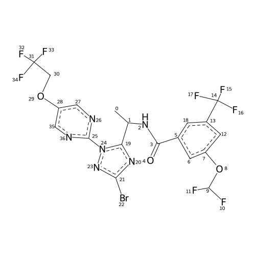 CC(NC(=O)c1cc(OC(F)F)cc(C(F)(F)F)c1)c1nc(Br)nn1-c1ncc(OCC(F)(F)F)cn1